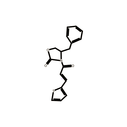 O=C(/C=C/c1cccs1)N1C(=O)OCC1Cc1ccccc1